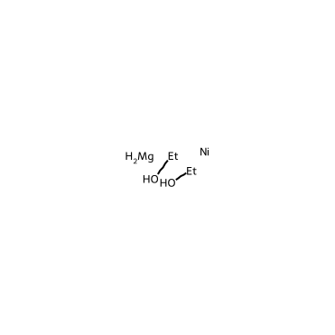 CCO.CCO.[MgH2].[Ni]